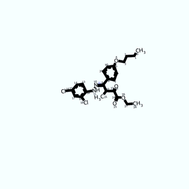 CCCCOc1ccc(/C(=N/Nc2ccc(Cl)cc2Cl)C(C)C(=O)C(=O)OCC)cc1